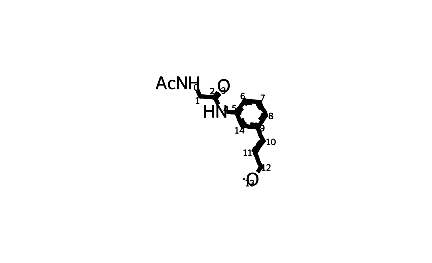 CC(=O)NCC(=O)Nc1cccc(/C=C/C[O])c1